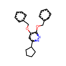 c1ccc(COc2cc(C3CCCC3)nnc2OCc2ccccc2)cc1